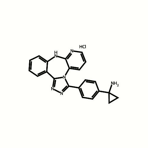 Cl.NC1(c2ccc(-c3nnc4n3-c3cccnc3Nc3ccccc3-4)cc2)CC1